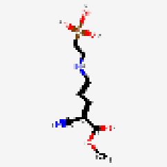 COC(=O)/C(C#N)=C/C=C/NCCS(=O)(=O)O